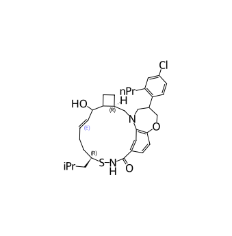 CCCc1cc(Cl)ccc1C1COc2ccc3cc2N(C1)C[C@@H]1CCC1C(O)/C=C/CC[C@H](CC(C)C)SNC3=O